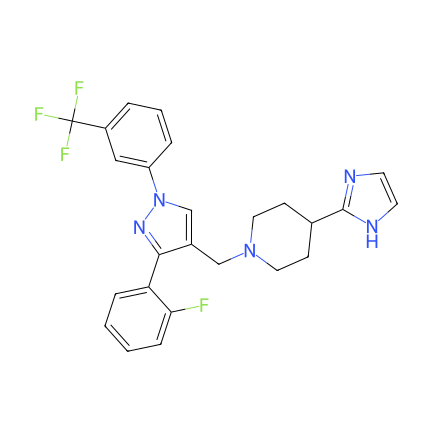 Fc1ccccc1-c1nn(-c2cccc(C(F)(F)F)c2)cc1CN1CCC(c2ncc[nH]2)CC1